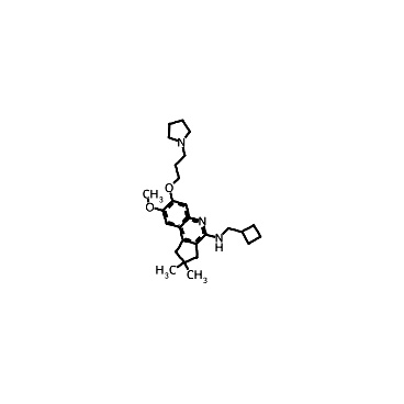 COc1cc2c3c(c(NCC4CCC4)nc2cc1OCCCN1CCCC1)CC(C)(C)C3